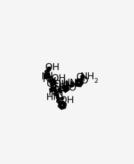 NS(=O)(=O)c1cccc(NC(=O)NC2CCN(c3nc(N[C@H](CO)Cc4ccccc4)c4ncn([C@@H]5O[C@H](c6nnn(CCO)n6)[C@@H](O)[C@H]5O)c4n3)C2)c1